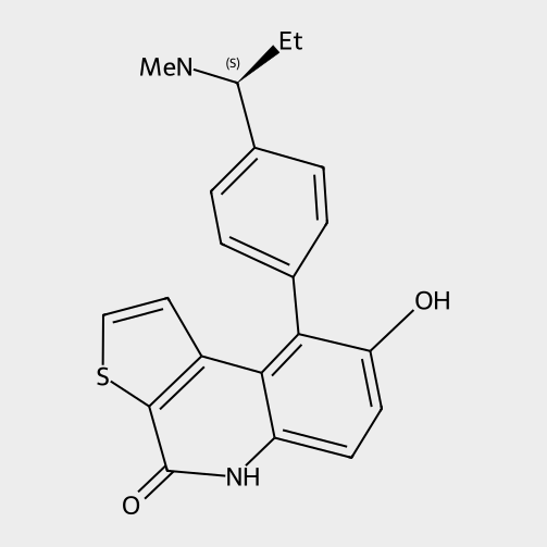 CC[C@H](NC)c1ccc(-c2c(O)ccc3[nH]c(=O)c4sccc4c23)cc1